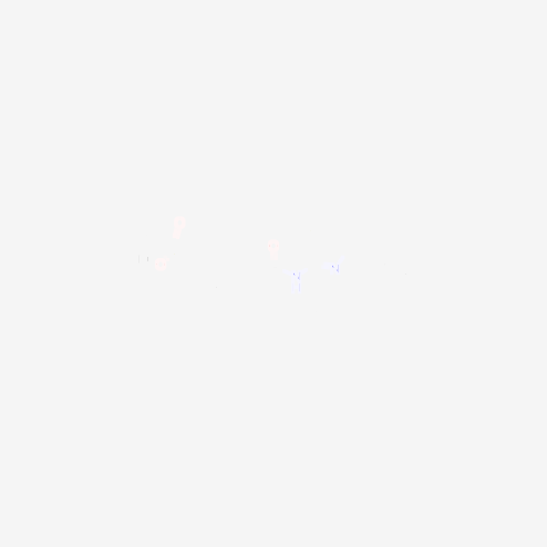 CCOC(=O)Cc1csc(NC(=O)C(CC2CCCC2)c2ccc(S(=O)(=O)C(F)(F)CC)cc2)n1